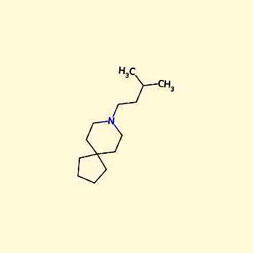 CC(C)CCN1CCC2(CCCC2)CC1